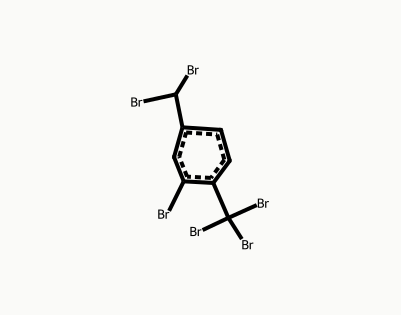 Brc1cc(C(Br)Br)ccc1C(Br)(Br)Br